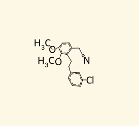 COc1ccc(CC#N)c(CCc2cccc(Cl)c2)c1OC